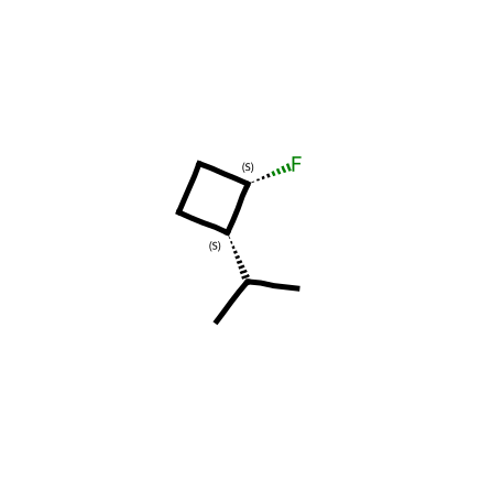 CC(C)[C@@H]1CC[C@@H]1F